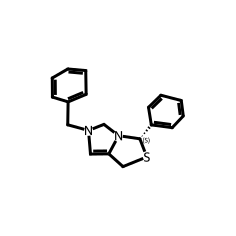 C1=C2CS[C@@H](c3ccccc3)N2CN1Cc1ccccc1